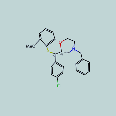 COc1ccccc1S[C@H](c1ccc(Cl)cc1)[C@H]1CN(Cc2ccccc2)CCO1